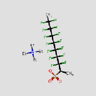 CC(C(F)(F)C(F)(F)C(F)(F)C(F)(F)C(F)(F)C(F)(F)C(F)(F)C(F)(F)F)S(=O)(=O)[O-].CC[N+](CC)(CC)CC